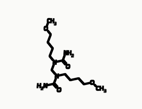 COCCCCN(CN(CCCCOC)C(N)=O)C(N)=O